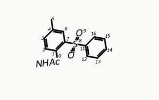 CC(=O)Nc1ccc(C)cc1S(=O)(=O)c1ccccc1